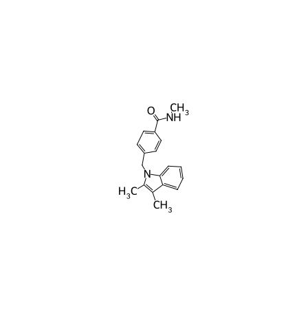 CNC(=O)c1ccc(Cn2c(C)c(C)c3ccccc32)cc1